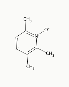 Cc1[c]cc(C)[n+]([O-])c1C